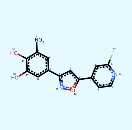 O=[N+]([O-])c1cc(-c2cc(-c3ccnc(F)c3)on2)cc(O)c1O